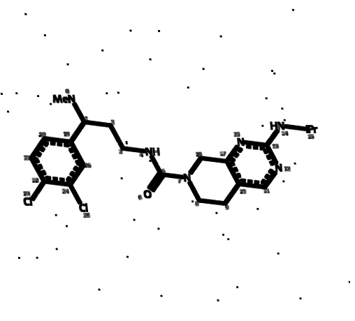 CNC(CCNC(=O)N1CCc2cnc(NC(C)C)nc2C1)c1ccc(Cl)c(Cl)c1